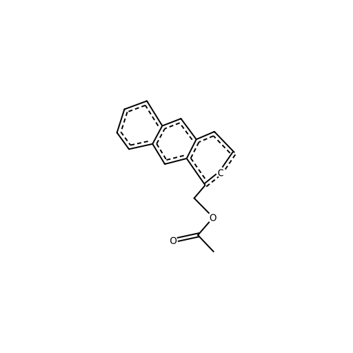 CC(=O)OCc1cccc2cc3ccccc3cc12